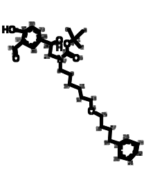 CC(C)(C)OC(=O)N(CCCCCCOCCCCc1ccccc1)CC(O)c1ccc(O)c(C=O)c1